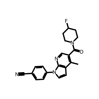 Cc1c(C(=O)N2CCC(F)CC2)cnc2c1ccn2-c1ccc(C#N)cc1